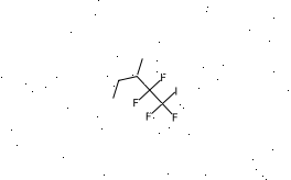 CCC(C)C(F)(F)C(F)(F)I